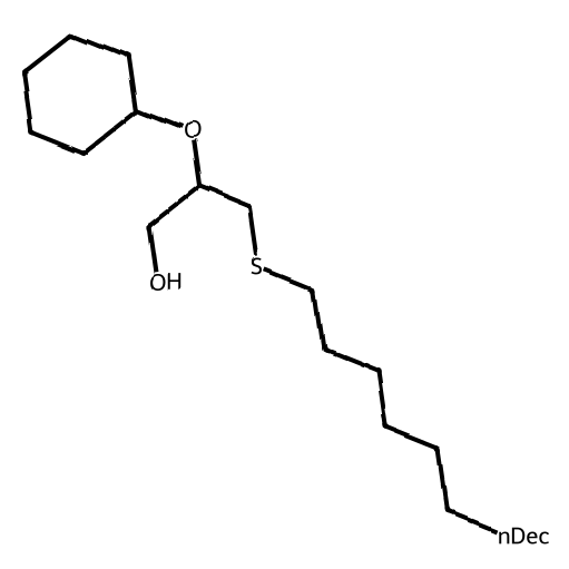 CCCCCCCCCCCCCCCCSCC(CO)OC1CCCCC1